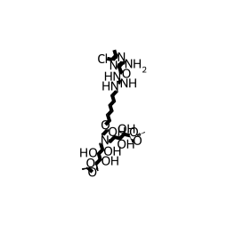 Cc1nc(N)c(C(=O)NC(=N)NCCCCCCCOCCN(C[C@H](O)[C@@H](O)[C@H](O)[C@H]2CO[C@@H](C)O2)C[C@H](O)[C@@H](O)[C@H](O)[C@H]2CO[C@@H](C)O2)nc1Cl